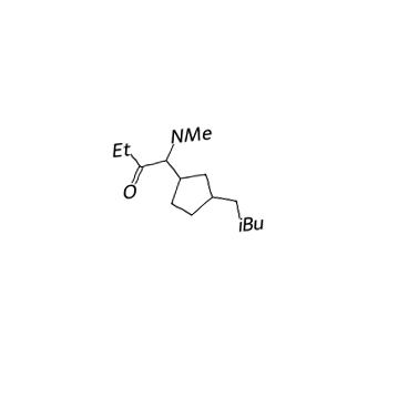 CCC(=O)C(NC)C1CCC(CC(C)CC)C1